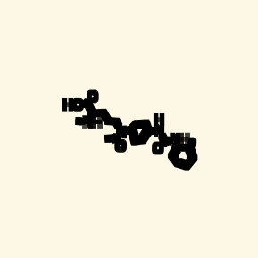 CNC(CCCN(C(C)=O)c1ccc(NC(=O)Nc2ccccc2C)cc1)C(=O)O